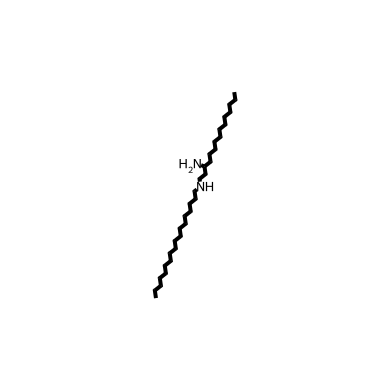 CCCCCCCCCCCCCCCCCCNCCC(N)CCCCCCCCCCCC